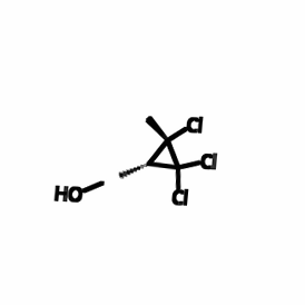 CO.C[C@H]1C(Cl)(Cl)[C@@]1(C)Cl